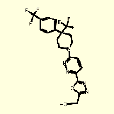 OCc1nnc(-c2ccc(N3CCC(c4ccc(C(F)(F)F)cc4)(C(F)(F)F)CC3)nn2)o1